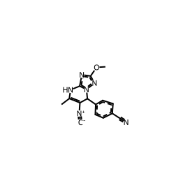 [C-]#[N+]C1=C(C)Nc2nc(OC)nn2C1c1ccc(C#N)cc1